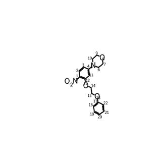 O=[N+]([O-])c1ccc(N2CCOCC2)cc1OCCOc1ccccc1